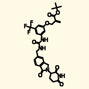 C=C(COc1cc(NC(=O)NCc2ccc3c(c2)CN(C2CCC(=O)NC2=O)C3=O)cc(C(F)(F)F)c1)C(=O)OC(C)(C)C